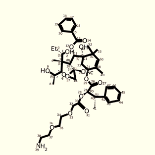 CC[C@H](O)[C@@](C)(C(=O)[C@@H](C)O)[C@H]([C@H](OC(=O)c1ccccc1)[C@]1(O)C[C@H](OC(=O)[C@H](OC(=O)COCCOCCN)[C@@H](C)c2ccccc2)C(C)=CC1(C)C)[C@]1(OC(C)=O)CO1